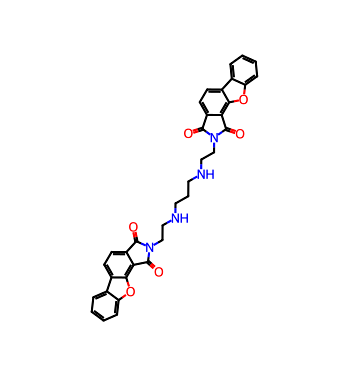 O=C1c2ccc3c(oc4ccccc43)c2C(=O)N1CCNCCCNCCN1C(=O)c2ccc3c(oc4ccccc43)c2C1=O